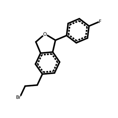 Fc1ccc(C2OCc3cc(CCBr)ccc32)cc1